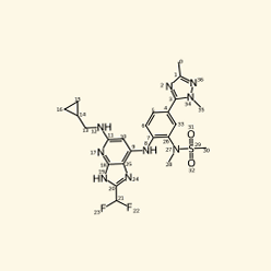 Cc1nc(-c2ccc(Nc3cc(NCC4CC4)nc4[nH]c(C(F)F)nc34)c(N(C)S(C)(=O)=O)c2)n(C)n1